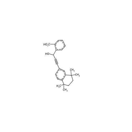 CC1(C)CCC(C)(C)c2cc(C#CC(O)c3ccccc3C(=O)O)ccc21